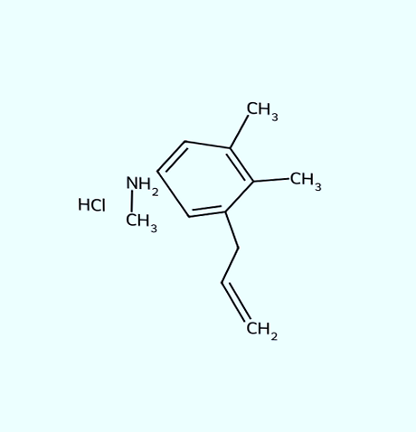 C=CCc1cccc(C)c1C.CN.Cl